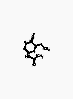 CC(=O)O.CCC1CCCCC1=O